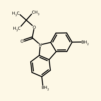 Bc1ccc2c(c1)c1cc(B)ccc1n2C(=O)OC(C)(C)C